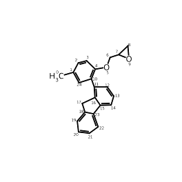 Cc1ccc(OCC2CO2)c(-c2cccc3c2Cc2ccccc2-3)c1